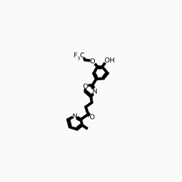 Cc1cccnc1C(=O)CCc1coc(-c2ccc(O)c(OCC(F)(F)F)c2)n1